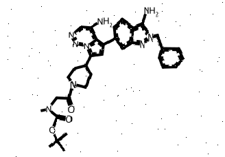 CN(CC(=O)N1CCC(c2cc(-c3ccc4c(N)n(Cc5ccccc5)nc4c3)c3c(N)cnnn23)CC1)C(=O)OC(C)(C)C